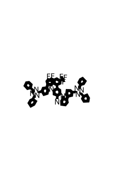 N#Cc1cc(-n2c3ccccc3c3cc(-c4nc(-c5ccccc5)nc(-c5ccccc5)n4)ccc32)c(-c2cc(C(F)(F)F)cc(C(F)(F)F)c2)cc1-n1c2ccccc2c2cc(-c3nc(-c4ccccc4)nc(-c4ccccc4)n3)ccc21